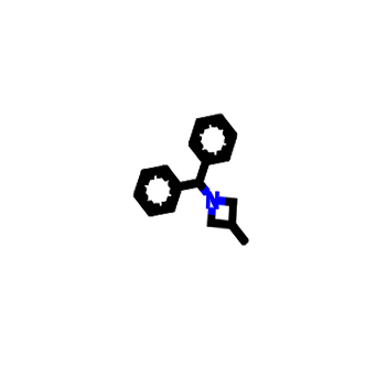 CC1CN(C(c2ccccc2)c2ccccc2)C1